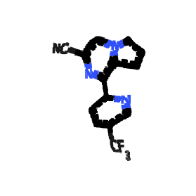 N#Cc1cn2cccc2c(-c2ccc(C(F)(F)F)cn2)n1